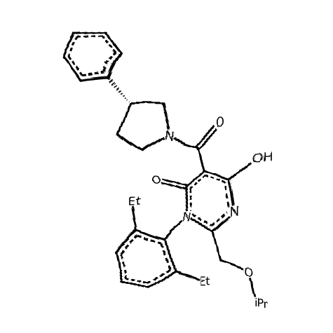 CCc1cccc(CC)c1-n1c(COC(C)C)nc(O)c(C(=O)N2CC[C@H](c3ccccc3)C2)c1=O